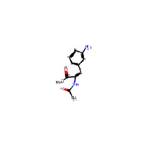 BC(=O)N/C(=C/c1cccc(N)c1)C(=O)OC